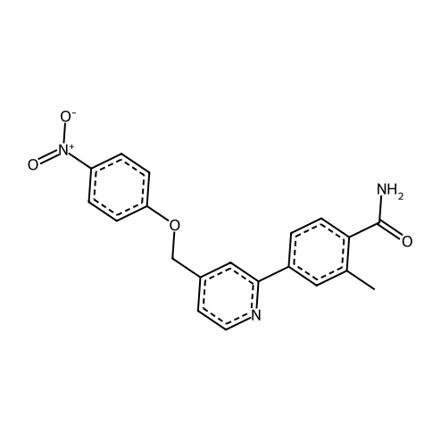 Cc1cc(-c2cc(COc3ccc([N+](=O)[O-])cc3)ccn2)ccc1C(N)=O